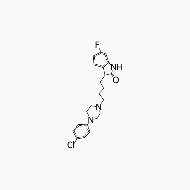 O=C1Nc2cc(F)ccc2C1CCCCN1CCN(c2ccc(Cl)cc2)CC1